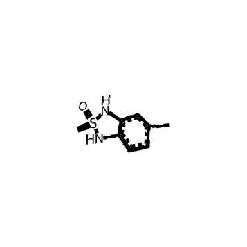 C=S1(=O)Nc2ccc(C)cc2N1